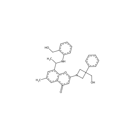 Cc1cc(C(C)Nc2ccccc2CO)c2oc(N3CC(CO)(c4ccccc4)C3)cc(=O)c2c1